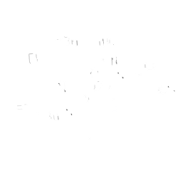 CCCCC(CC)CN(CC(CC)CCCC)c1nc(-c2c(C)cccc2C)c(/C=C2\C(=O)N(N(C(=O)C(C)(C)C)c3ccccc3)C(=O)C(C#N)=C2C)s1